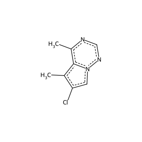 Cc1ncnn2cc(Cl)c(C)c12